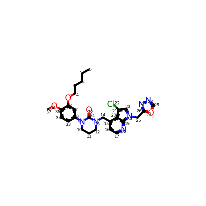 CCCCCOc1cc(N2CCCN(Cc3ccnc4c3c(Cl)cn4Cc3nnco3)C2=O)ccc1OC